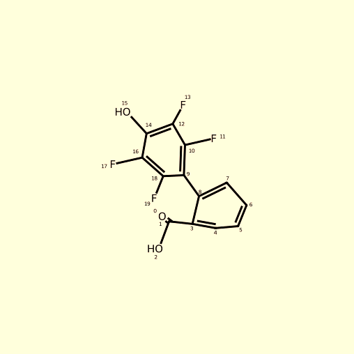 O=C(O)c1ccccc1-c1c(F)c(F)c(O)c(F)c1F